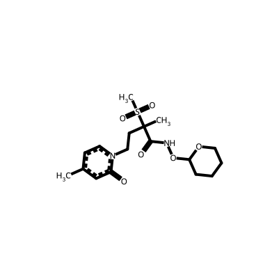 Cc1ccn(CCC(C)(C(=O)NOC2CCCCO2)S(C)(=O)=O)c(=O)c1